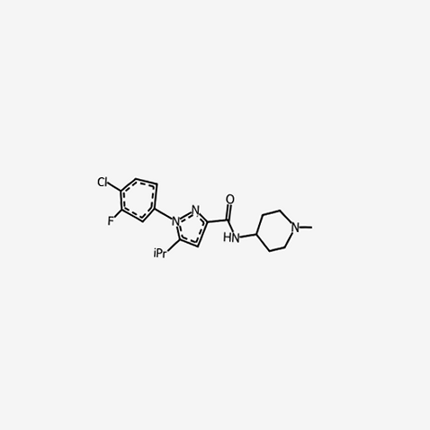 CC(C)c1cc(C(=O)NC2CCN(C)CC2)nn1-c1ccc(Cl)c(F)c1